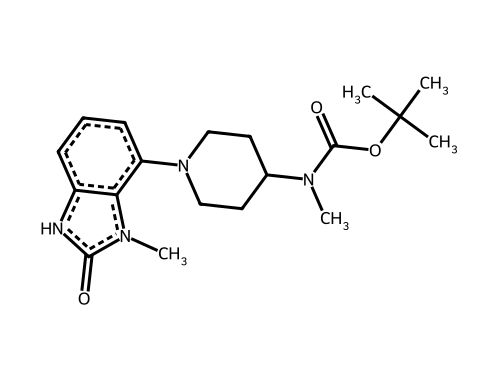 CN(C(=O)OC(C)(C)C)C1CCN(c2cccc3[nH]c(=O)n(C)c23)CC1